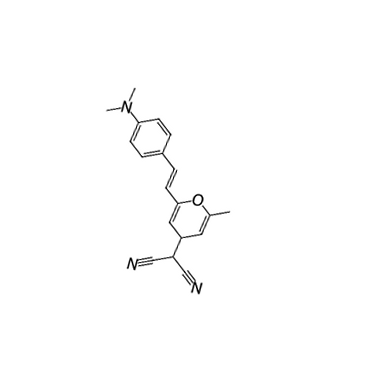 CC1=CC(C(C#N)C#N)C=C(C=Cc2ccc(N(C)C)cc2)O1